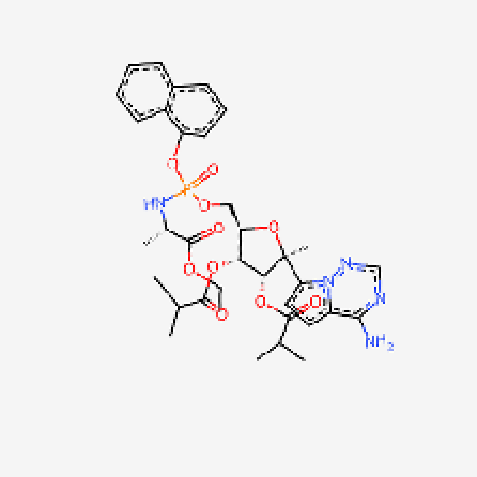 CCOC(=O)[C@H](C)NP(=O)(OC[C@H]1O[C@@](C)(c2ccc3c(N)ncnn23)[C@H](OC(=O)C(C)C)[C@@H]1OC(=O)C(C)C)Oc1cccc2ccccc12